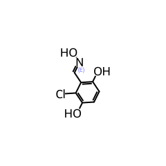 O/N=C/c1c(O)ccc(O)c1Cl